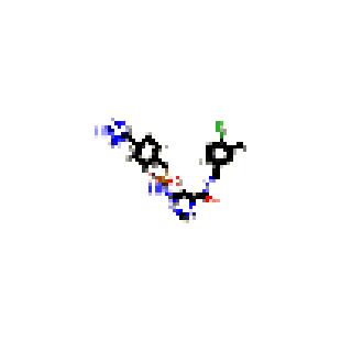 Cc1cc(CNC(=O)c2cc(NS(=O)(=O)Cc3ccc(-c4nn[nH]n4)cc3)ncn2)ccc1F